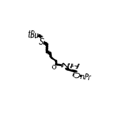 CCCOCCNC(=O)CCCCCSCC(C)(C)C